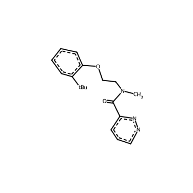 CN(CCOc1ccccc1C(C)(C)C)C(=O)c1cccnn1